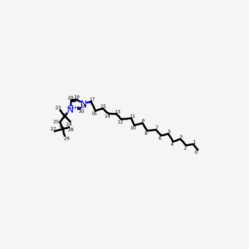 CCCCCCCCCCCCCCCCCCn1cc[n+](C(C)(C)CC(C)(C)C)c1